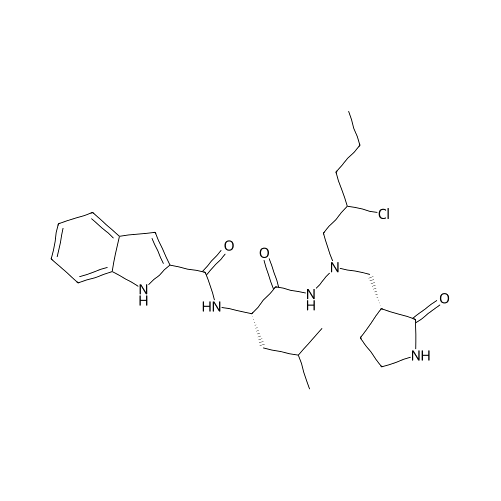 CCCC(Cl)CN(C[C@H]1CCNC1=O)NC(=O)[C@H](CC(C)C)NC(=O)c1cc2ccccc2[nH]1